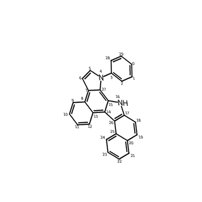 c1ccc(-n2ccc3c4ccccc4c4c([nH]c5ccc6ccccc6c54)c32)cc1